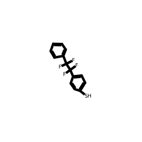 FC(F)(c1ccccc1)C(F)(F)c1ccc(S)cc1